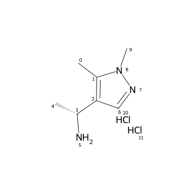 Cc1c([C@@H](C)N)cnn1C.Cl.Cl